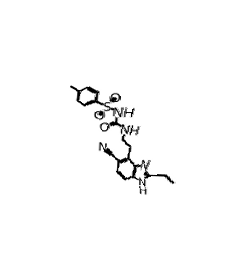 CCc1nc2c(CCNC(=O)NS(=O)(=O)c3ccc(C)cc3)c(C#N)ccc2[nH]1